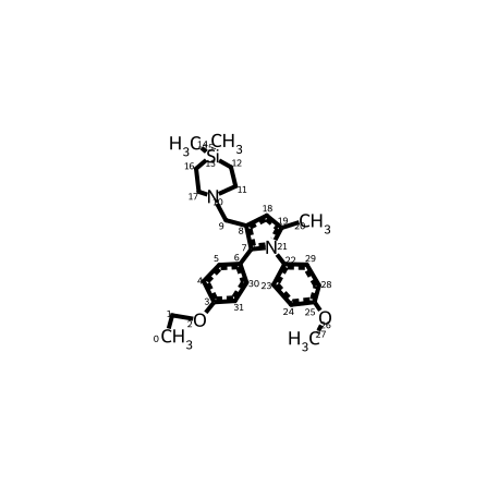 CCOc1ccc(-c2c(CN3CC[Si](C)(C)CC3)cc(C)n2-c2ccc(OC)cc2)cc1